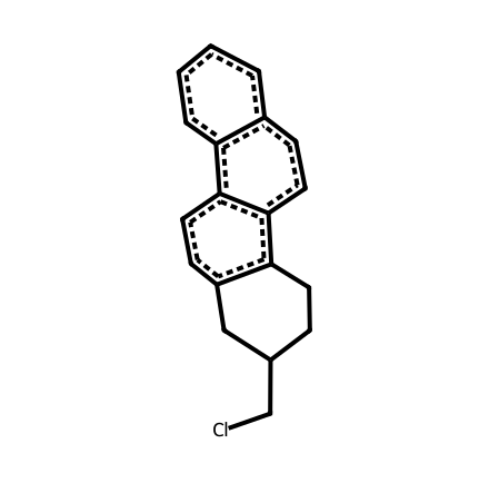 ClCC1CCc2c(ccc3c2ccc2ccccc23)C1